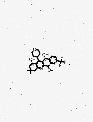 COC(C)c1nc2c(c(C3CCOCC3)c1[C@H](O)c1ccc(C(F)(F)F)cc1)[C@@H](O)CC(C)(C)C2